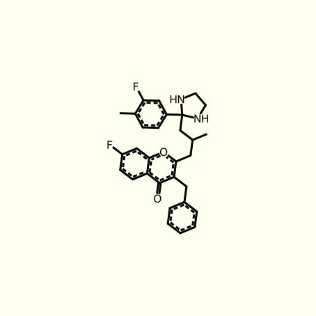 Cc1ccc(C2(CC(C)Cc3oc4cc(F)ccc4c(=O)c3Cc3ccccc3)NCCN2)cc1F